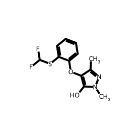 Cc1nn(C)c(O)c1Oc1ccccc1SC(F)F